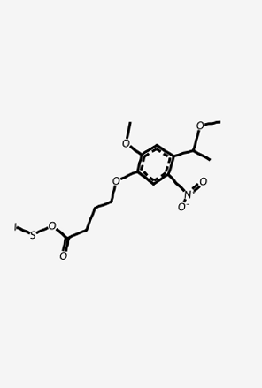 COc1cc(C(C)OC)c([N+](=O)[O-])cc1OCCCC(=O)OSI